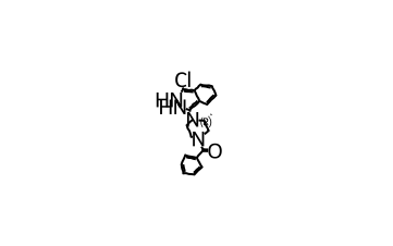 C[C@@H]1CN(C(=O)c2ccccc2)CCN1C1=c2ccccc2=C(Cl)NN1